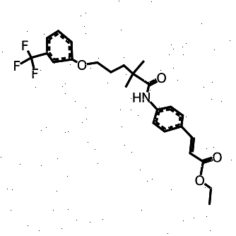 CCOC(=O)/C=C/c1ccc(NC(=O)C(C)(C)CCCOc2cccc(C(F)(F)F)c2)cc1